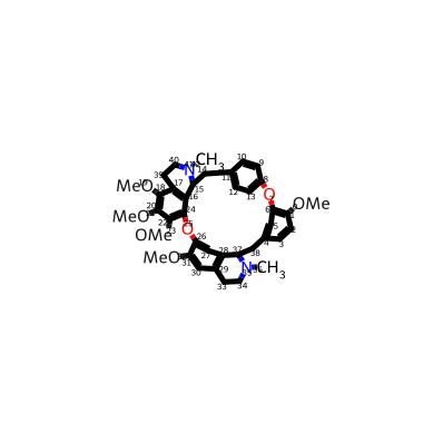 COc1ccc2cc1Oc1ccc(cc1)CC1c3c(c(OC)c(OC)c(OC)c3Oc3cc4c(cc3OC)CCN(C)C4C2)CCN1C